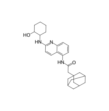 O=C(CC12CC3CC(CC(C3)C1)C2)Nc1cccc2nc(NC3CCCCC3O)ccc12